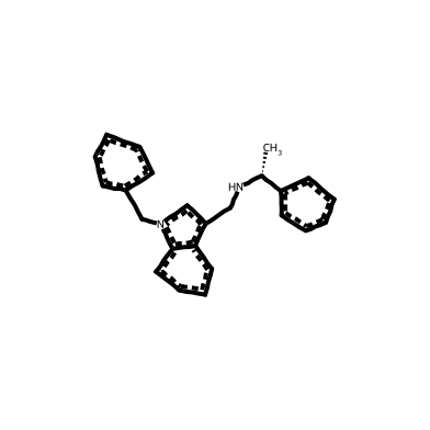 C[C@@H](NCc1cn(Cc2ccccc2)c2ccccc12)c1ccccc1